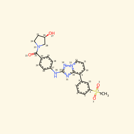 CS(=O)(=O)c1cccc(-c2cccn3nc(Nc4ccc(C(=O)N5CC[C@@H](O)C5)cc4)nc23)c1